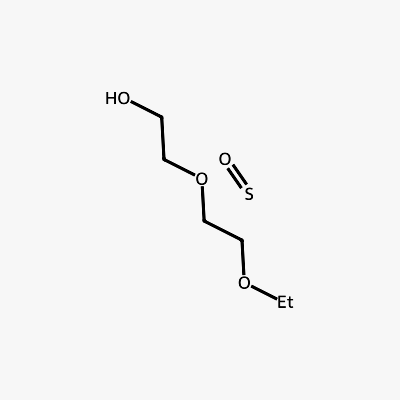 CCOCCOCCO.O=S